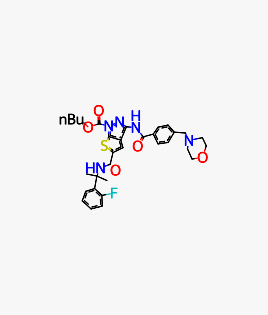 CCCCOC(=O)n1nc(NC(=O)c2ccc(CN3CCOCC3)cc2)c2cc(C(=O)NC(C)(C)c3ccccc3F)sc21